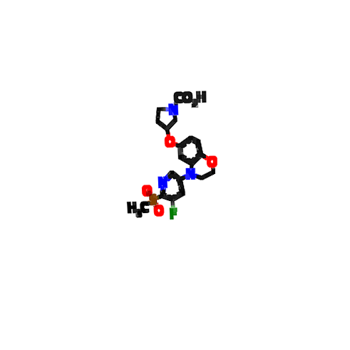 CS(=O)(=O)c1ncc(N2CCOc3ccc(OC4CCN(C(=O)O)C4)cc32)cc1F